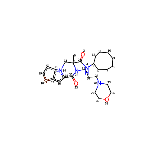 CC1(C(=O)NC2CCCCCCC2)Cn2c(cc3sccc32)C(=O)N1CCCN1CCOCC1